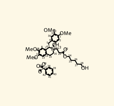 COc1ccc(C[C@@H]2c3cc(OC)c(OC)cc3CC[N+]2(C)CCC(=O)OCCCCCO)cc1OC.O=S(=O)([O-])c1ccccc1